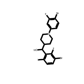 OC(c1c(I)ccc(Br)c1F)C1CCN(c2ccc(Br)c(F)c2)CC1